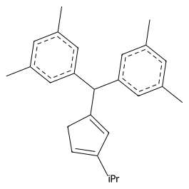 Cc1cc(C)cc(C(C2=CC(C(C)C)=CC2)c2cc(C)cc(C)c2)c1